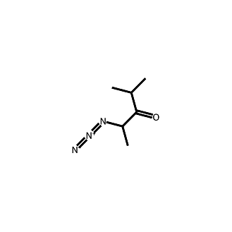 CC(C)C(=O)C(C)N=[N+]=[N-]